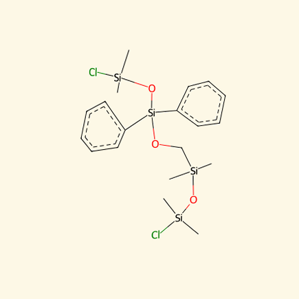 C[Si](C)(Cl)O[Si](C)(C)CO[Si](O[Si](C)(C)Cl)(c1ccccc1)c1ccccc1